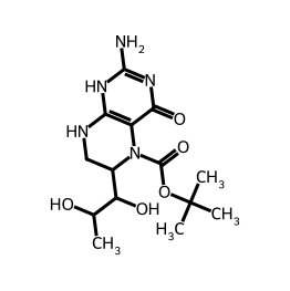 CC(O)C(O)C1CNc2[nH]c(N)nc(=O)c2N1C(=O)OC(C)(C)C